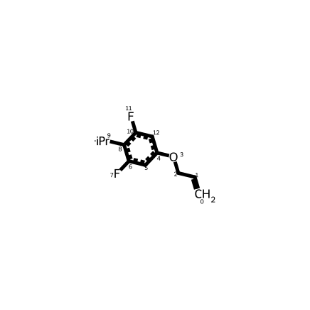 C=CCOc1cc(F)c([C](C)C)c(F)c1